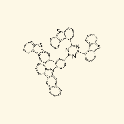 c1ccc2cc3c(cc2c1)c1ccccc1n3-c1ccc(-c2nc(-c3cccc4sc5ccccc5c34)nc(-c3cccc4sc5ccccc5c34)n2)cc1-c1ccc2c(c1)sc1ccccc12